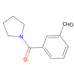 O=Cc1cccc(C(=O)N2CCCC2)c1